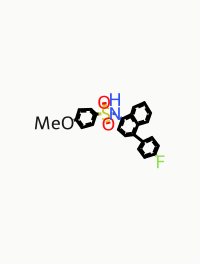 COc1ccc(S(=O)(=O)Nc2ccc(-c3ccc(F)cc3)c3ccccc23)cc1